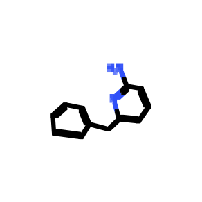 Nc1cccc(Cc2ccccc2)n1